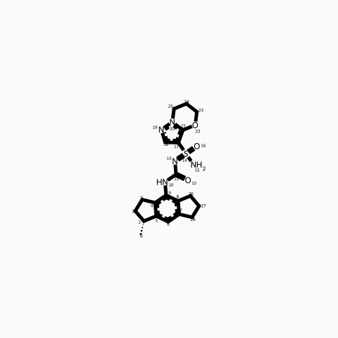 C[C@@H]1CCc2c1cc1c(c2NC(=O)N=S(N)(=O)c2cnn3c2OCCC3)CCC1